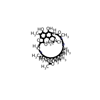 CO[C@@H]1/C=C\O[C@]2(C)Oc3c(C)c(O)c4c(O)c(c(CN(C)C)c(O)c4c3C2=O)NC(=O)/C(C)=C\C=C/[C@@H](C)[C@@H](O)[C@H](C)[C@@H](O)[C@H](C)[C@H](OC(C)=O)[C@@H]1C